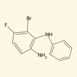 Nc1ccc(F)c(Br)c1Nc1ccccc1